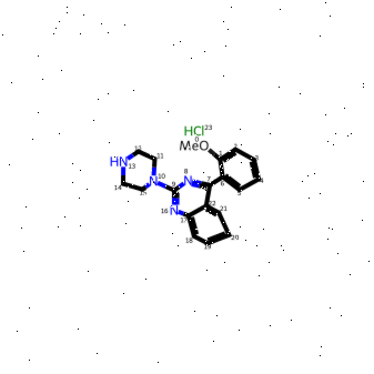 COc1ccccc1-c1nc(N2CCNCC2)nc2ccccc12.Cl